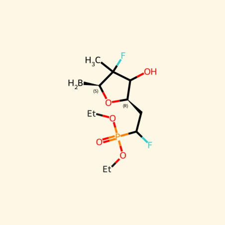 B[C@@H]1O[C@H](CC(F)P(=O)(OCC)OCC)C(O)C1(C)F